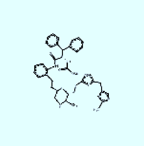 COC(=O)N[C@H](C(=O)Nc1ccccc1CC[C@@H]1CN[C@H](C)[C@@H](CSc2nnc(Cc3csc(C)n3)o2)O1)C(c1ccccc1)c1ccccc1